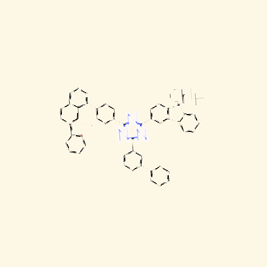 CC1(C)c2ccccc2-c2cc(-c3nc(-c4ccc(-c5cccc6ccc7c8ccccc8oc7c56)cc4)nc(-c4cccc(-c5ccccc5)c4)n3)ccc21